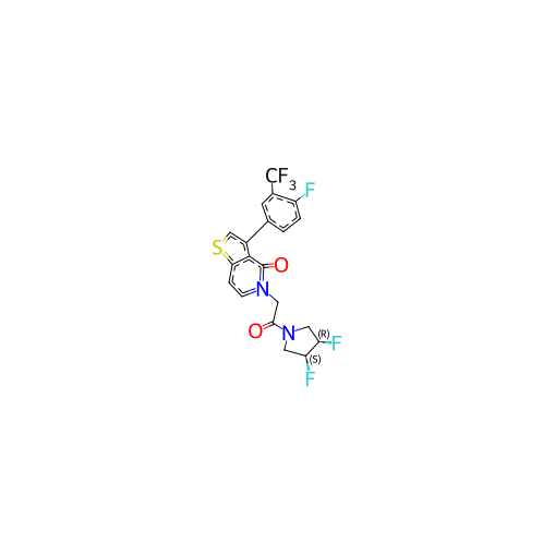 O=C(Cn1ccc2scc(-c3ccc(F)c(C(F)(F)F)c3)c2c1=O)N1C[C@@H](F)[C@@H](F)C1